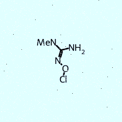 CN/C(N)=N/OCl